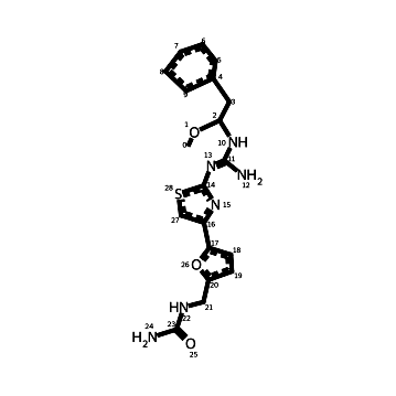 COC(Cc1ccccc1)NC(N)=Nc1nc(-c2ccc(CNC(N)=O)o2)cs1